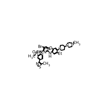 CCc1cc(Nc2ncc(Br)c(Nc3ccc(-c4ncsc4C)cc3P(C)(C)=O)n2)c(OC)cc1N1CCC(N2CCN(C)CC2)CC1